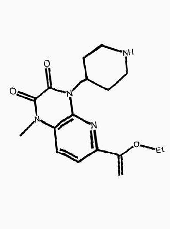 C=C(OCC)c1ccc2c(n1)n(C1CCNCC1)c(=O)c(=O)n2C